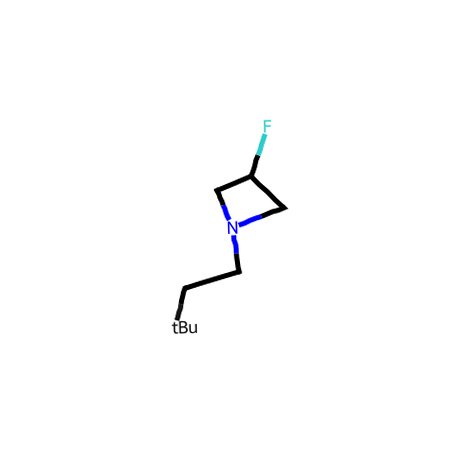 CC(C)(C)CCN1CC(F)C1